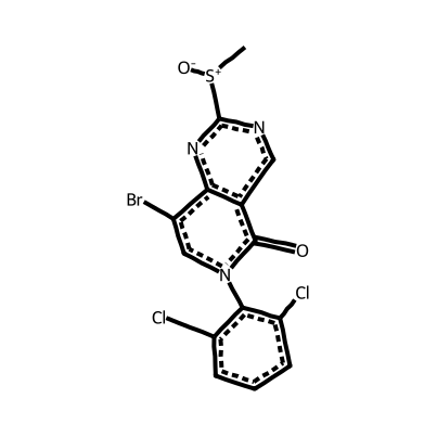 C[S+]([O-])c1ncc2c(=O)n(-c3c(Cl)cccc3Cl)cc(Br)c2n1